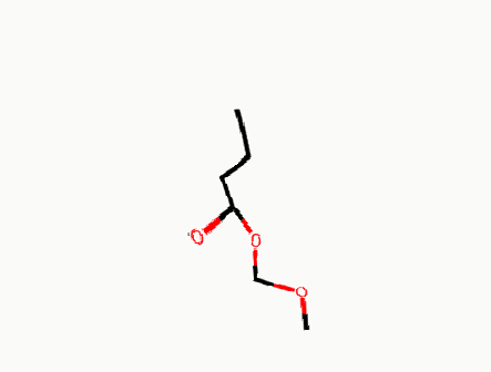 CCCC([O])OCOC